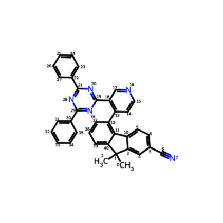 CC1(C)c2cc(C#N)ccc2-c2c(-c3ccncc3-c3nc(-c4ccccc4)nc(-c4ccccc4)n3)cccc21